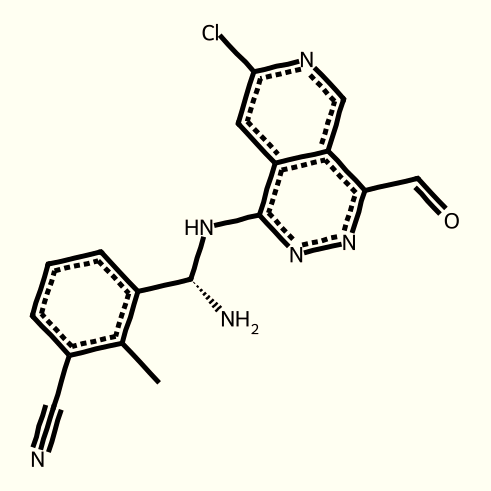 Cc1c(C#N)cccc1[C@@H](N)Nc1nnc(C=O)c2cnc(Cl)cc12